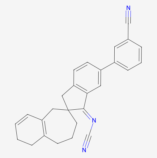 N#C/N=C1/c2cc(-c3cccc(C#N)c3)ccc2CC12CCCC1=C(C=CCC1)C2